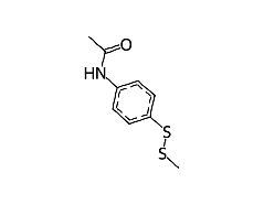 CSSc1ccc(NC(C)=O)cc1